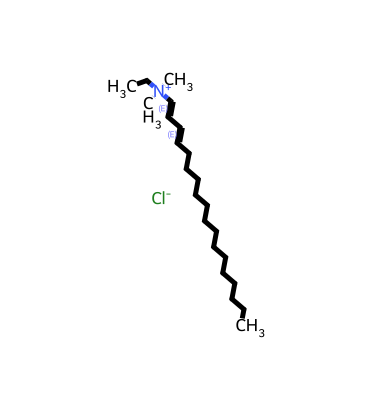 CCCCCCCCCCCCCC/C=C/C=C/[N+](C)(C)CC.[Cl-]